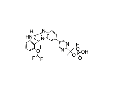 CC(C)(OP(=O)(O)O)c1ncc(-c2ccc3nc4n(c3c2)[C@@H]2C[C@H]4Nc3cccc(OC(F)F)c32)cn1